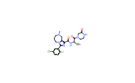 CN1CCCn2c(-c3cc(Cl)ccc3F)nc(C(=O)NC(C(=O)N3CCNC(=O)C3)C(C)(C)C)c2C1